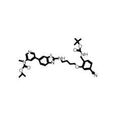 CC(C)OC(=O)N(C)c1cncc(-c2ccc3nc(NCCCCOc4cc(C#N)ccc4CNC(=O)OC(C)(C)C)sc3c2)c1